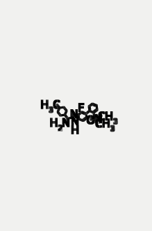 CC1CCC([C@H](N)c2nc3c(F)c(-c4ccccc4C(=O)N(C)C)ccc3[nH]2)CC1